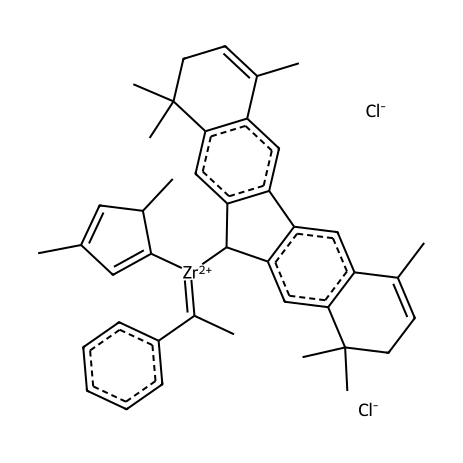 CC1=CC(C)[C](/[Zr+2](=[C](/C)c2ccccc2)[CH]2c3cc4c(cc3-c3cc5c(cc32)C(C)(C)CC=C5C)C(C)=CCC4(C)C)=C1.[Cl-].[Cl-]